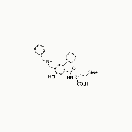 CSCC[C@H](NC(=O)c1ccc(CNCc2ccccc2)cc1-c1ccccc1)C(=O)O.Cl